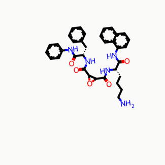 NCCCC[C@H](NC(=O)C1OC1C(=O)N[C@@H](Cc1ccccc1)C(=O)Nc1ccccc1)C(=O)Nc1cccc2ccccc12